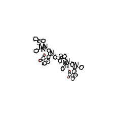 c1ccc(-c2nc(-c3ccc4nc(-c5ccc(-c6cccc7c6oc6cccc(-c8nc(-c9ccccc9)nc(-c9ccc%10nc(-c%11ccccc%11)c%11cc%12c(cc%11c%10c9)C9(c%10ccccc%10O%12)c%10ccccc%10-c%10ccccc%109)n8)c67)cc5)c5cc6c(cc5c4c3)C3(c4ccccc4O6)c4ccccc4-c4ccccc43)nc(-c3cccc4c3sc3ccccc34)n2)cc1